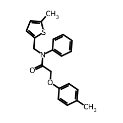 Cc1ccc(OCC(=O)N(Cc2ccc(C)s2)c2ccccc2)cc1